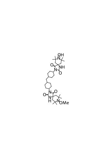 CON1C(C)(C)CC2(CC1(C)C)NC(=O)N(C1CCC(CC3CCC(N4C(=O)NC5(CC(C)(C)N(O)C(C)(C)C5)C4=O)CC3)CC1)C2=O